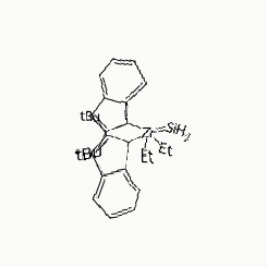 C[CH2][Zr](=[SiH2])([CH2]C)([CH]1C(C(C)(C)C)=Cc2ccccc21)[CH]1C(C(C)(C)C)=Cc2ccccc21